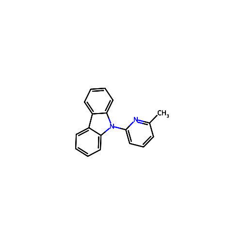 Cc1cccc(-n2c3ccccc3c3ccccc32)n1